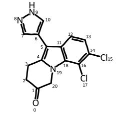 O=C1CCc2c(-c3cn[nH]c3)c3ccc(Cl)c(Cl)c3n2C1